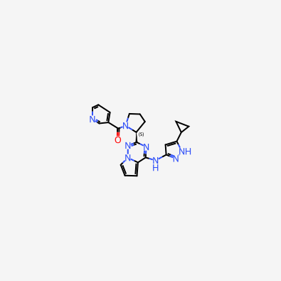 O=C(c1cccnc1)N1CCC[C@H]1c1nc(Nc2cc(C3CC3)[nH]n2)c2cccn2n1